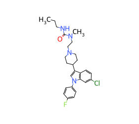 CCCNC(=O)N(C)CCN1CCC(c2cn(-c3ccc(F)cc3)c3cc(Cl)ccc23)CC1